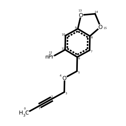 CC#CCOCc1cc2c(cc1CCC)OCO2